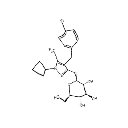 CCc1ccc(Cc2c(O[C@@H]3S[C@H](CO)[C@@H](O)[C@H](O)[C@H]3O)nn(C3CCC3)c2C(F)(F)F)cc1